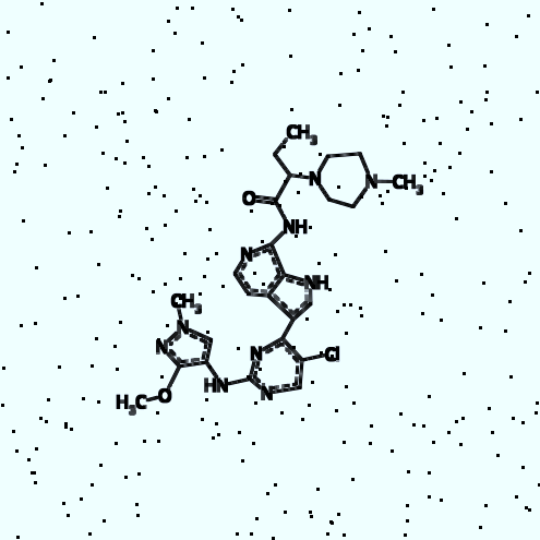 CCC(C(=O)Nc1nccc2c(-c3nc(Nc4cn(C)nc4OC)ncc3Cl)c[nH]c12)N1CCN(C)CC1